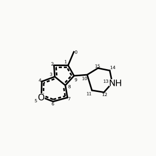 Cc1cc2coccc-2c1C1CCNCC1